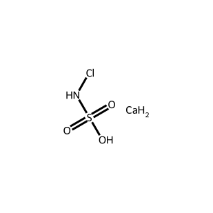 O=S(=O)(O)NCl.[CaH2]